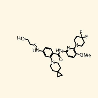 COc1ccc(NC(=O)c2ccc(NSCCO)cc2N2CCC3(CC2)CC3)nc1N1CCC(F)(F)CC1